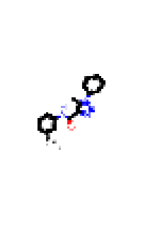 Cc1c(C(=O)Nc2cccc(C(F)(F)F)c2)nnn1-c1ccccc1